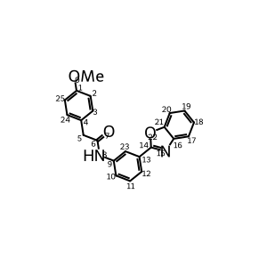 COc1ccc(CC(=O)Nc2cccc(-c3nc4ccccc4o3)c2)cc1